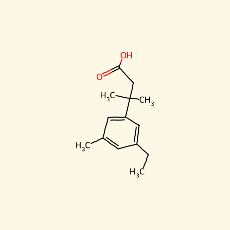 CCc1cc(C)cc(C(C)(C)CC(=O)O)c1